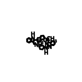 CN(C)c1nc(N[C@H]2CC[C@@H](CNCc3c(-c4ccc5ccccc5c4)[nH]c4ccccc34)CC2)nc2ccccc12